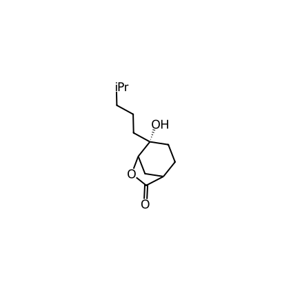 CC(C)CCC[C@@]1(O)CCC2CC1OC2=O